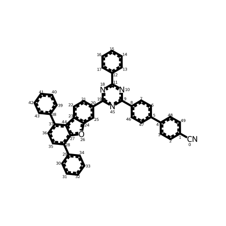 N#Cc1ccc(-c2ccc(-c3nc(-c4ccccc4)nc(-c4ccc5c(c4)oc4c(-c6ccccc6)ccc(-c6ccccc6)c45)n3)cc2)cc1